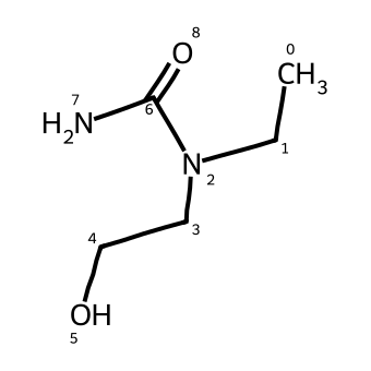 CCN(CCO)C(N)=O